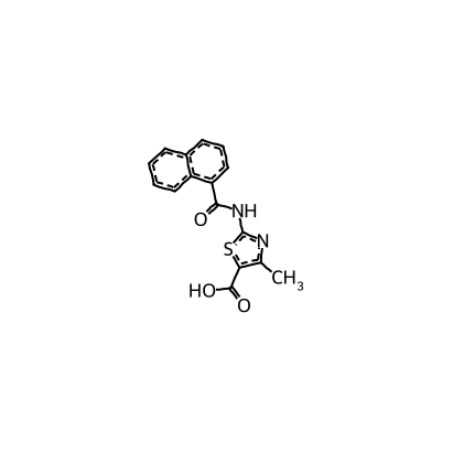 Cc1nc(NC(=O)c2cccc3ccccc23)sc1C(=O)O